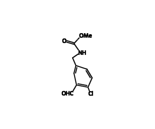 COC(=O)NCc1ccc(Cl)c(C=O)c1